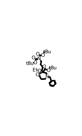 CCOP1(=O)CCCN(Cc2ccccc2)CC1(CCCCN(C(=O)OC(C)(C)C)C(=O)OC(C)(C)C)C(=O)OC(C)(C)C